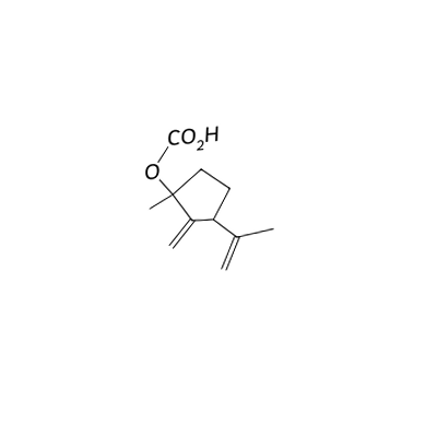 C=C(C)C1CCC(C)(OC(=O)O)C1=C